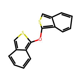 c1ccc2c(Oc3scc4ccccc34)scc2c1